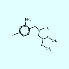 COC(CN(C)Cc1ccc(Cl)cc1N)OC